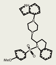 COc1ccc(S(=O)(=O)N2c3ccccc3CCC2CN2CCN(c3cccc4[nH]ccc34)CC2)cc1